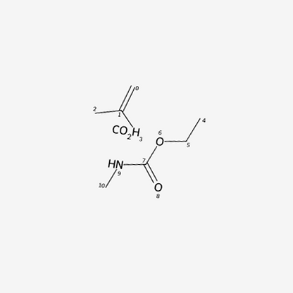 C=C(C)C(=O)O.CCOC(=O)NC